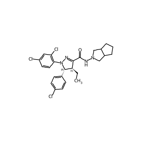 CC[C@@H]1C(C(=O)NN2CC3CCCC3C2)=NN(c2ccc(Cl)cc2Cl)[C@H]1c1ccc(Cl)cc1